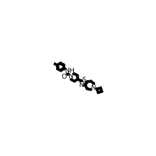 Cc1ccc(NC(=O)N2CCC(c3nc4c(s3)CCN(C3CCC3)CC4)CC2)cc1